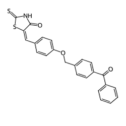 O=C1NC(=S)SC1=Cc1ccc(OCc2ccc(C(=O)c3ccccc3)cc2)cc1